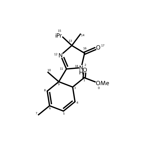 COC(=O)C1C=CC(C)=CC1(C)C1=NC(C)(C(C)C)C(=O)N1